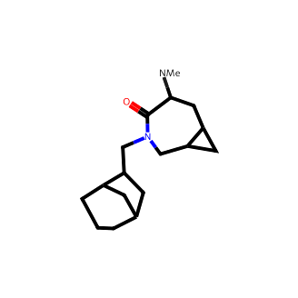 CNC1CC2CC2CN(CC2CC3CCCC2C3)C1=O